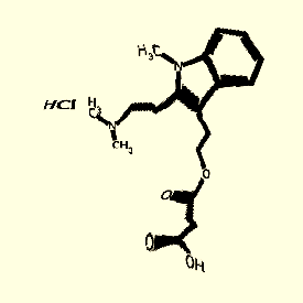 CN(C)CCc1c(CCOC(=O)CC(=O)O)c2ccccc2n1C.Cl